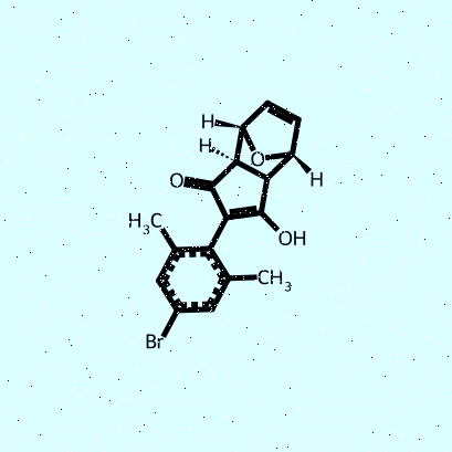 Cc1cc(Br)cc(C)c1C1=C(O)C2[C@@H](C1=O)[C@@H]1C=C[C@H]2O1